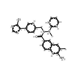 CCc1ncsc1-c1ccc(CN(C(=O)c2ccc3nc(N)c(C)cc3c2)N(C)c2ncccn2)nc1